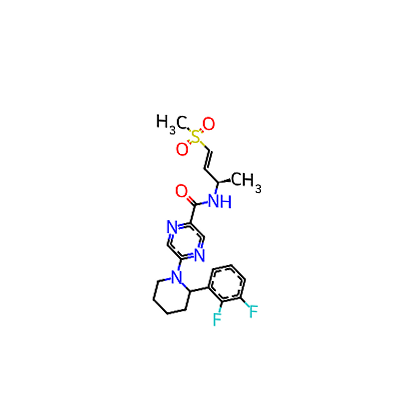 C[C@H](/C=C/S(C)(=O)=O)NC(=O)c1cnc(N2CCCCC2c2cccc(F)c2F)cn1